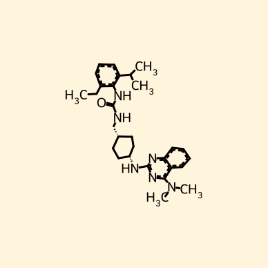 CCc1cccc(C(C)C)c1NC(=O)NC[C@H]1CC[C@@H](Nc2nc(N(C)C)c3ccccc3n2)CC1